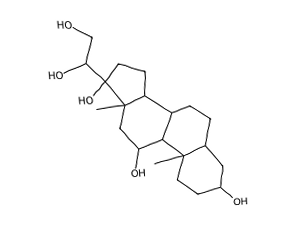 CC12CCC(O)CC1CCC1C2C(O)CC2(C)C1CCC2(O)C(O)CO